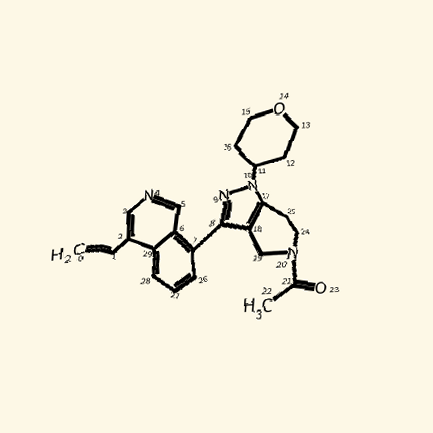 C=Cc1cncc2c(-c3nn(C4CCOCC4)c4c3CN(C(C)=O)CC4)cccc12